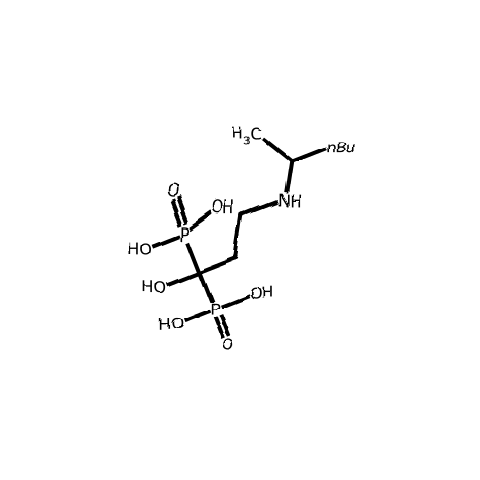 CCCCC(C)NCCC(O)(P(=O)(O)O)P(=O)(O)O